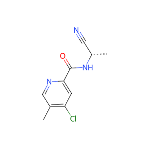 Cc1cnc(C(=O)N[C@@H](C)C#N)cc1Cl